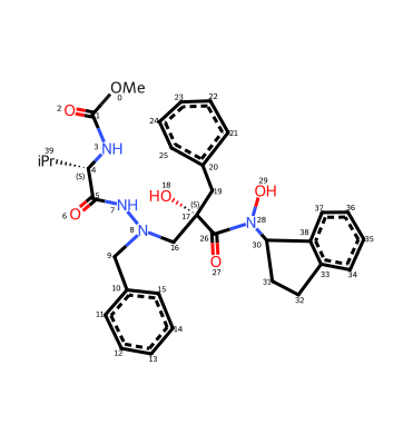 COC(=O)N[C@H](C(=O)NN(Cc1ccccc1)C[C@@](O)(Cc1ccccc1)C(=O)N(O)C1CCc2ccccc21)C(C)C